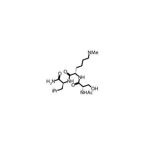 CNCCCC[C@H](NC(=O)[C@H](CO)NC(C)=O)C(=O)N[C@@H](CC(C)C)C(N)=O